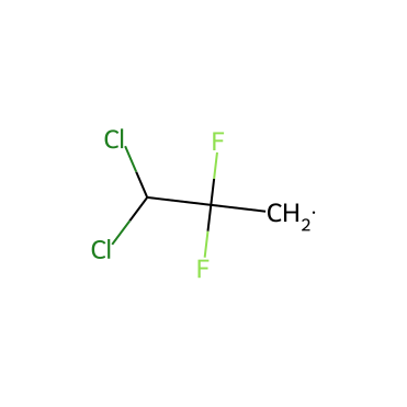 [CH2]C(F)(F)C(Cl)Cl